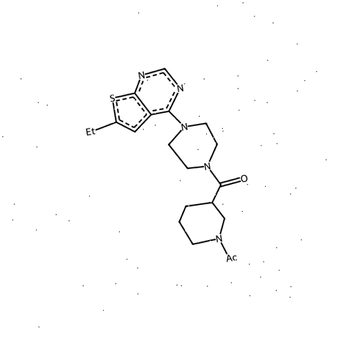 CCc1cc2c(N3CCN(C(=O)C4CCCN(C(C)=O)C4)CC3)ncnc2s1